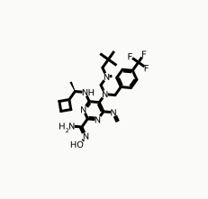 C=Nc1nc(/C(N)=N/O)nc(N[C@H](C)C2CCC2)c1N(Cc1ccc(C(F)(F)F)cc1)CN(C)CC(C)(C)C